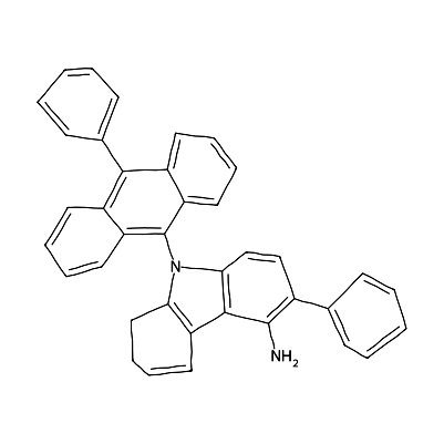 Nc1c(-c2ccccc2)ccc2c1c1c(n2-c2c3ccccc3c(-c3ccccc3)c3ccccc23)CCC=C1